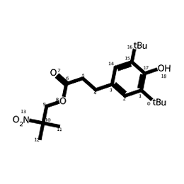 CC(C)(C)c1cc(CCC(=O)OCC(C)(C)[N+](=O)[O-])cc(C(C)(C)C)c1O